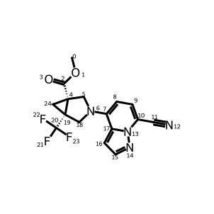 COC(=O)[C@]12CN(c3ccc(C#N)n4nccc34)C[C@@]1(C(F)(F)F)C2